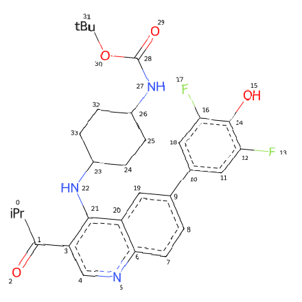 CC(C)C(=O)c1cnc2ccc(-c3cc(F)c(O)c(F)c3)cc2c1NC1CCC(NC(=O)OC(C)(C)C)CC1